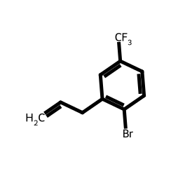 C=CCc1cc(C(F)(F)F)ccc1Br